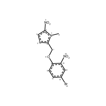 Cn1c([N+](=O)[O-])cnc1COc1ccc(Br)cc1[N+](=O)[O-]